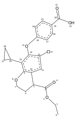 CCOC(=O)C1CCOc2c1cc(Cl)c(Oc1ccc(C(=O)O)cc1)c2C1CC1